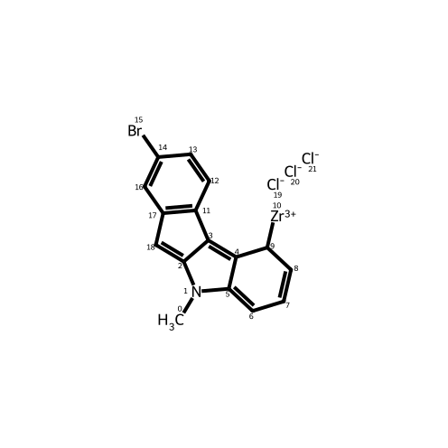 Cn1c2c(c3c1=CC=C[CH]3[Zr+3])-c1ccc(Br)cc1C=2.[Cl-].[Cl-].[Cl-]